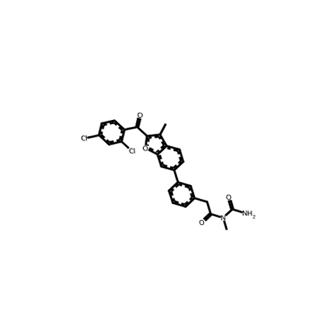 Cc1c(C(=O)c2ccc(Cl)cc2Cl)oc2cc(-c3cccc(CC(=O)N(C)C(N)=O)c3)ccc12